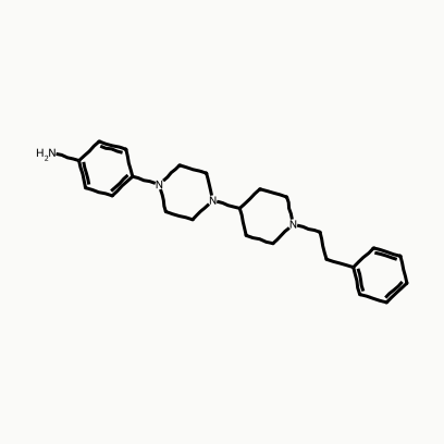 Nc1ccc(N2CCN(C3CCN(CCc4ccccc4)CC3)CC2)cc1